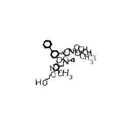 Cc1c(CN(C(=O)[C@H]2CN(C(=O)OC(C)(C)C)CC[C@@H]2c2cccc(-c3ccccc3)c2)C2CC2)ccnc1OCCCO